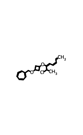 C=C/C=C\C=C(\OC1CC(OCC2=CC=CC=C=C2)C1)C(C)Cl